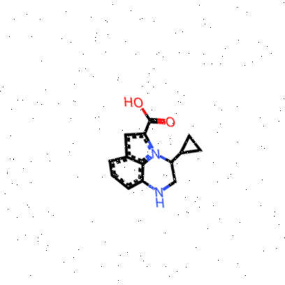 O=C(O)c1cc2cccc3c2n1C(C1CC1)CN3